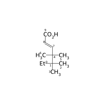 CCC(C)(C)C(C)(C)C=CC(=O)O